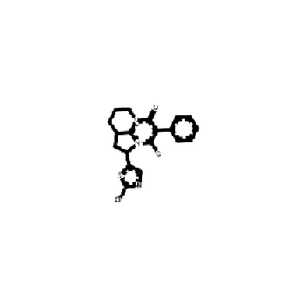 O=c1c(-c2ccccc2)c([O-])[n+]2c3n1CCCC3CC2c1cnc(Cl)s1